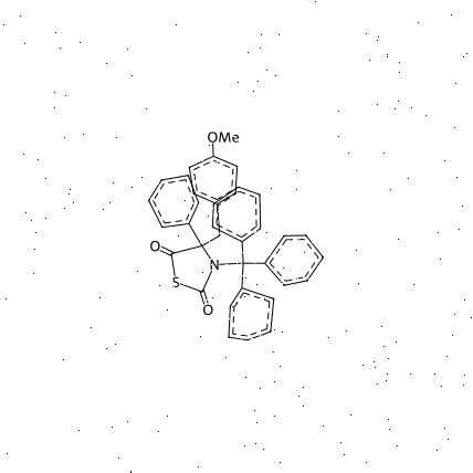 COc1ccc(CC2(c3ccccc3)C(=O)SC(=O)N2C(c2ccccc2)(c2ccccc2)c2ccccc2)cc1